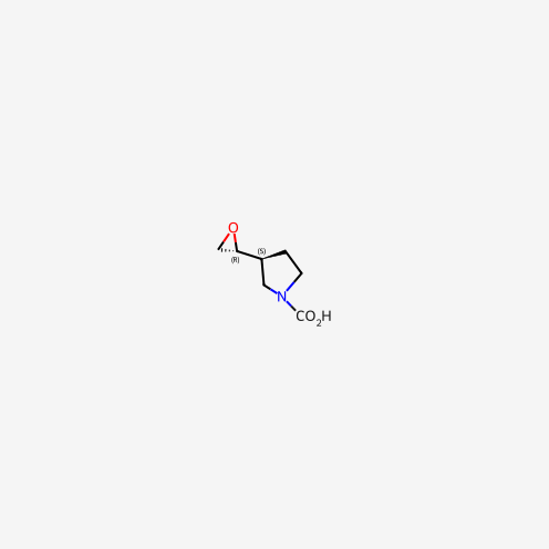 O=C(O)N1CC[C@H]([C@@H]2CO2)C1